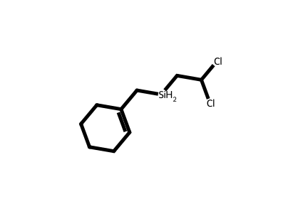 ClC(Cl)C[SiH2]CC1=CCCCC1